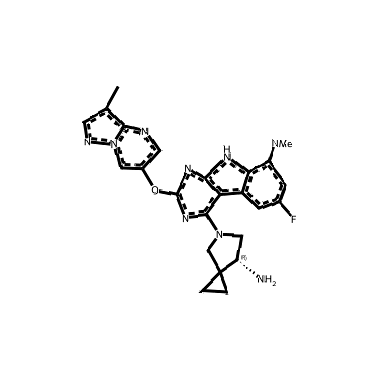 CNc1cc(F)cc2c1[nH]c1nc(Oc3cnc4c(C)cnn4c3)nc(N3C[C@H](N)C4(CC4)C3)c12